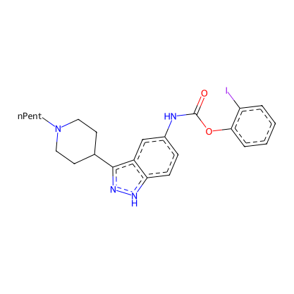 CCCCCN1CCC(c2n[nH]c3ccc(NC(=O)Oc4ccccc4I)cc23)CC1